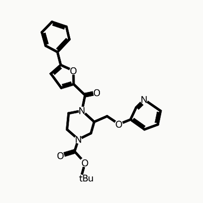 CC(C)(C)OC(=O)N1CCN(C(=O)c2ccc(-c3ccccc3)o2)C(COc2cccnc2)C1